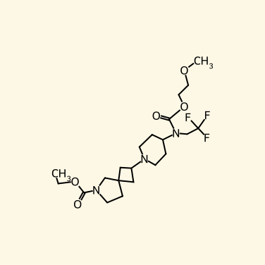 CCOC(=O)N1CCC2(CC(N3CCC(N(CC(F)(F)F)C(=O)OCCOC)CC3)C2)C1